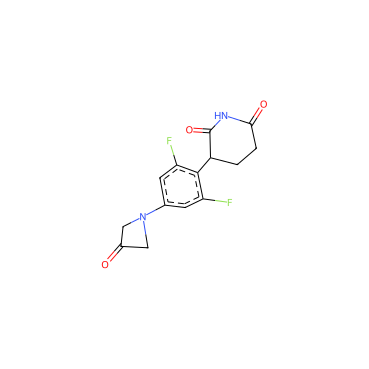 O=C1CN(c2cc(F)c(C3CCC(=O)NC3=O)c(F)c2)C1